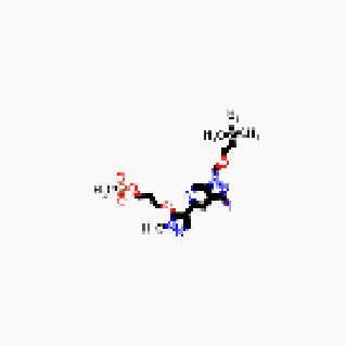 Cn1ncc(-c2cc3c(I)nn(COCC[Si](C)(C)C)c3cn2)c1OCCCOS(C)(=O)=O